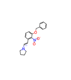 O=[N+]([O-])c1c(/C=C/N2CCCC2)cccc1OCc1ccccc1